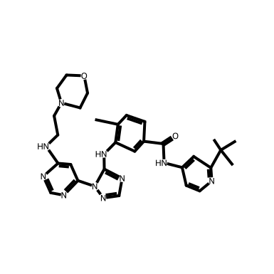 Cc1ccc(C(=O)Nc2ccnc(C(C)(C)C)c2)cc1Nc1ncnn1-c1cc(NCCN2CCOCC2)ncn1